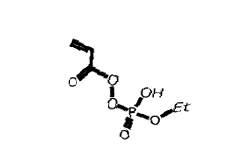 C=CC(=O)OOP(=O)(O)OCC